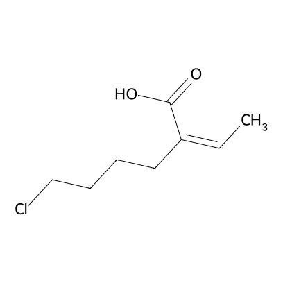 CC=C(CCCCCl)C(=O)O